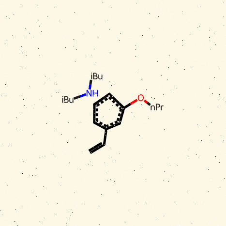 C=Cc1cccc(OCCC)c1.CCC(C)NC(C)CC